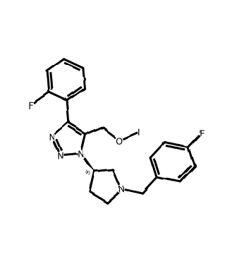 Fc1ccc(CN2CC[C@@H](n3nnc(-c4ccccc4F)c3COI)C2)cc1